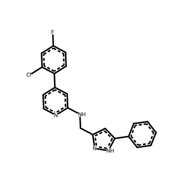 Fc1ccc(-c2ccnc(NCc3cc(-c4ccccc4)[nH]n3)c2)c(Cl)c1